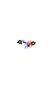 Cc1ccc(S(=O)(=O)N(SNCC=Nc2ccc(C)cc2C)C(C)C)cc1